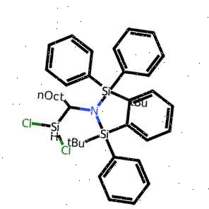 CCCCCCCCC(N([Si](c1ccccc1)(c1ccccc1)C(C)(C)C)[Si](c1ccccc1)(c1ccccc1)C(C)(C)C)[SiH](Cl)Cl